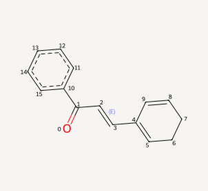 O=C(/C=C/C1=CCCC=C1)c1ccccc1